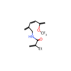 C=C(/C=C\C(=C)OC(F)(F)F)CNC(=O)C(=C)CC